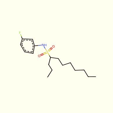 CCCCCCCC(CCC)S(=O)(=O)Nc1cccc(F)c1